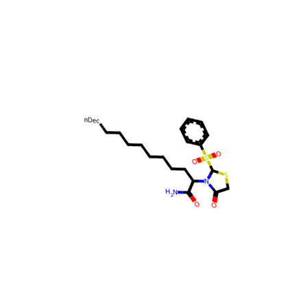 CCCCCCCCCCCCCCCCCCC(C(N)=O)N1C(=O)CSC1S(=O)(=O)c1ccccc1